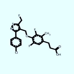 Cc1c(CCC(=O)O)cc(F)c(OCc2c(-c3ccc(Cl)cc3)nsc2CF)c1F